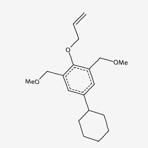 C=CCOc1c(COC)cc(C2CCCCC2)cc1COC